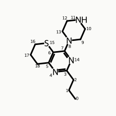 CCCc1nc2c(c(N3CCNCC3)n1)SCCC2